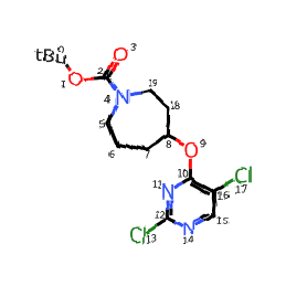 CC(C)(C)OC(=O)N1CCCC(Oc2nc(Cl)ncc2Cl)CC1